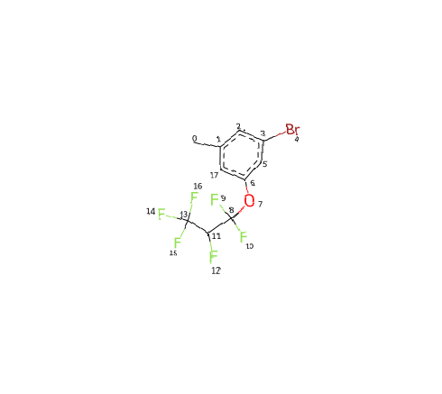 Cc1[c]c(Br)cc(OC(F)(F)C(F)C(F)(F)F)c1